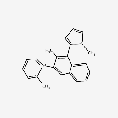 Cc1c(-[n+]2ccccc2C)cc2ccccc2c1-c1cccn1C